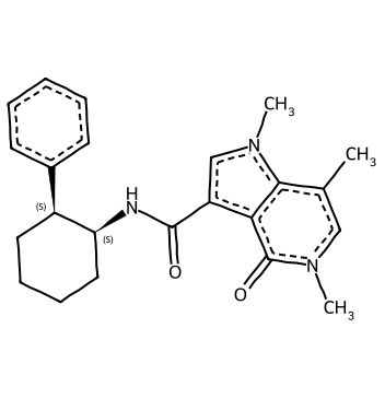 Cc1cn(C)c(=O)c2c(C(=O)N[C@H]3CCCC[C@H]3c3ccccc3)cn(C)c12